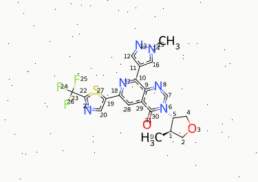 C[C@@H]1COC[C@H]1n1cnc2c(-c3cnn(C)c3)nc(-c3cnc(C(F)(F)F)s3)cc2c1=O